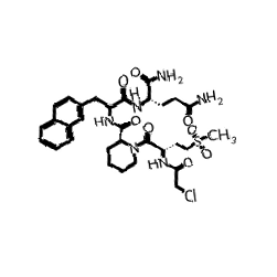 CS(=O)(=O)CC[C@H](NC(=O)CCl)C(=O)N1CCCC[C@H]1C(=O)NC(Cc1ccc2ccccc2c1)C(=O)N[C@@H](CCC(N)=O)C(N)=O